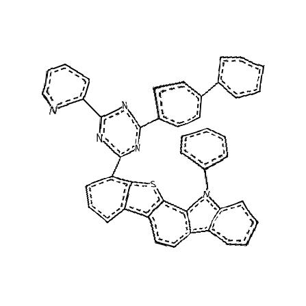 c1ccc(-c2ccc(-c3nc(-c4ccccn4)nc(-c4cccc5c4sc4c5ccc5c6ccccc6n(-c6ccccc6)c54)n3)cc2)cc1